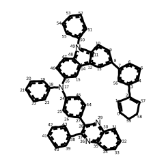 C1=CC(c2cccc(-c3ccc4c(c3)c3cc(N(c5ccccc5)c5ccc(-c6nc7ccccc7nc6-c6ccccc6)cc5)ccc3n4-c3ccccc3)c2)=CCC1